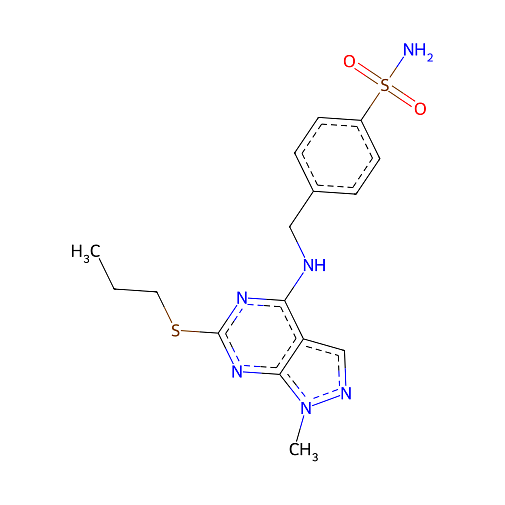 CCCSc1nc(NCc2ccc(S(N)(=O)=O)cc2)c2cnn(C)c2n1